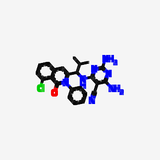 CC(C)C(Nc1nc(N)nc(N)c1C#N)c1cc2cccc(Cl)c2c(=O)n1-c1ccccc1